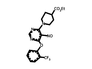 CCOC(=O)C1CCN(c2ncnc(Oc3ccccc3C(F)(F)F)c2N=O)CC1